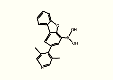 Cc1cncc(C)c1-c1cc(B(O)O)c2oc3ccccc3c2c1